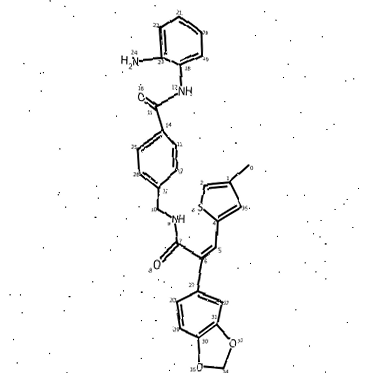 Cc1csc(C=C(C(=O)NCc2ccc(C(=O)Nc3ccccc3N)cc2)c2ccc3c(c2)OCO3)c1